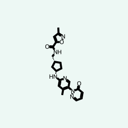 Cc1cc(C(=O)NC[C@@H]2CC[C@H](Nc3cc(C)c(-n4ncccc4=O)cn3)C2)on1